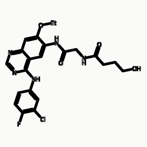 CCOc1cc2ncnc(Nc3ccc(F)c(Cl)c3)c2cc1NC(=O)CNC(=O)CCCO